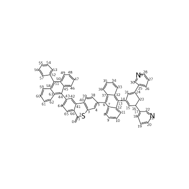 C=C1Sc2cc(-c3c4ccccc4c(C4=CC(c5cccnc5)CC(c5cccnc5)=C4)c4ccccc34)ccc2-c2cc(-c3c4ccccc4c(-c4ccccc4)c4ccccc34)ccc21